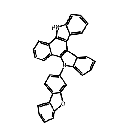 c1ccc2c(c1)[nH]c1c3ccccc3c3c(c4ccccc4n3-c3ccc4c(c3)oc3ccccc34)c21